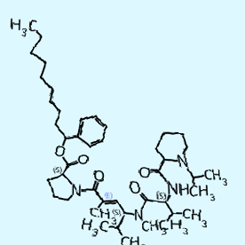 CCCCCCCCCC(OC(=O)[C@@H]1CCCN1C(=O)/C(C)=C/[C@H](C(C)C)N(C)C(=O)[C@@H](NC(=O)C1CCCCN1C(C)C)C(C)C)c1ccccc1